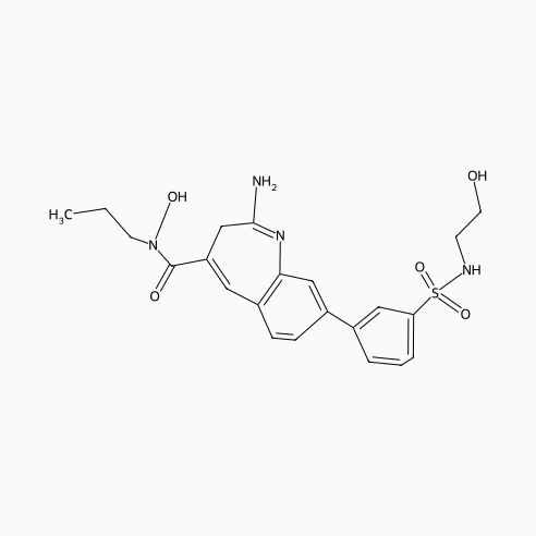 CCCN(O)C(=O)C1=Cc2ccc(-c3cccc(S(=O)(=O)NCCO)c3)cc2N=C(N)C1